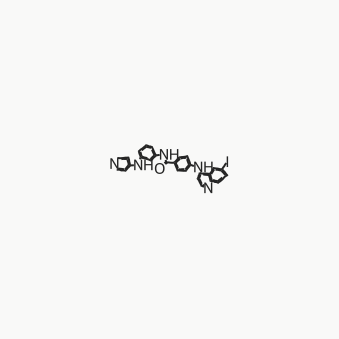 O=C(Nc1cccc(Nc2ccncc2)c1)c1ccc(Nc2ccnc3ccc(I)cc23)cc1